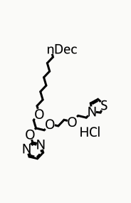 CCCCCCCCCCCCCCCCCCOCC(COCCOCCN1C=CSC1)Oc1ncccn1.Cl